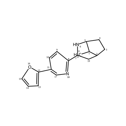 CC1C2CCC1NC(c1ccc(-c3ccco3)cn1)C2